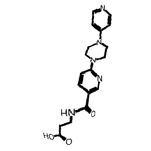 O=C(O)CCNC(=O)c1ccc(N2CCN(c3ccncc3)CC2)nc1